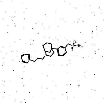 NS(=O)(=O)Cc1cccc(C23CCCC(C2)N(CCCc2ccccc2)CC3)c1